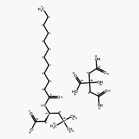 CCCCCCCCCCCC(=O)O[C@H](CC(=O)[O-])C[N+](C)(C)C.O=C(O)CC(O)(CC(=O)O)C(=O)O